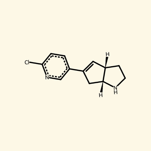 Clc1ccc(C2=C[C@@H]3CCN[C@@H]3C2)cn1